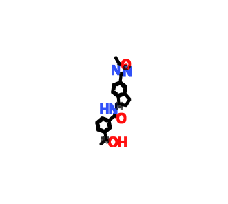 Cc1nc(-c2ccc3c(c2)CC[C@H]3NC(=O)c2cccc([C@H](C)O)c2)no1